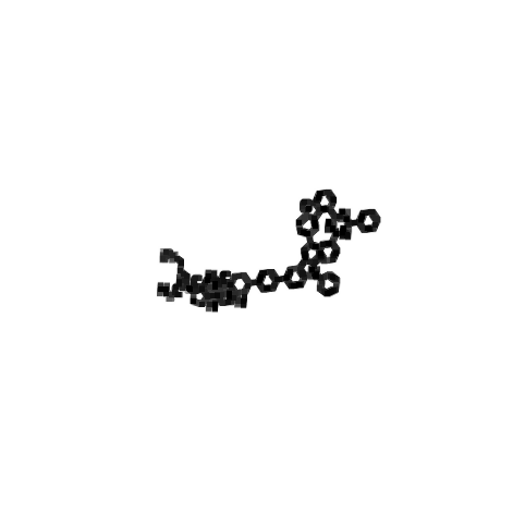 CC(C)CCC[C@H](C)[C@@H]1CC[C@@H]2[C@H]3CC[C@@H]4CC(c5ccc(-c6ccc7c(c6)c6cc(-c8ccc9oc%10cccc(-c%11nc(-c%12ccccc%12)nc(-c%12ccccc%12)n%11)c%10c9c8)ccc6n7-c6ccccc6)cc5)CC[C@@]4(C)[C@@H]3CC[C@]21C